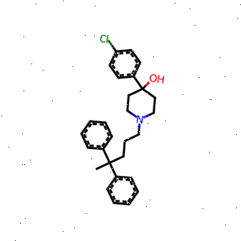 CC(CCCN1CCC(O)(c2ccc(Cl)cc2)CC1)(c1ccccc1)c1ccccc1